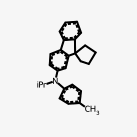 Cc1ccc(N(c2ccc3c(c2)C2(CCCC2)c2ccccc2-3)C(C)C)cc1